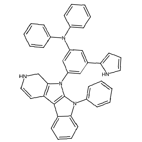 C1=Cc2c(n(-c3cc(-c4ccc[nH]4)cc(N(c4ccccc4)c4ccccc4)c3)c3c2c2ccccc2n3-c2ccccc2)CN1